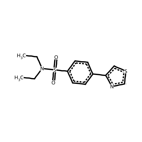 CCN(CC)S(=O)(=O)c1ccc(-c2cs[c]n2)cc1